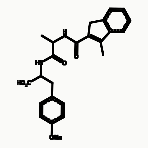 COc1ccc(CC(NC(=O)C(C)NC(=O)C2=C(C)c3ccccc3C2)C(=O)O)cc1